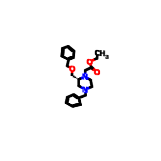 CCOC(=O)CN1CCN(Cc2ccccc2)C[C@@H]1COCc1ccccc1